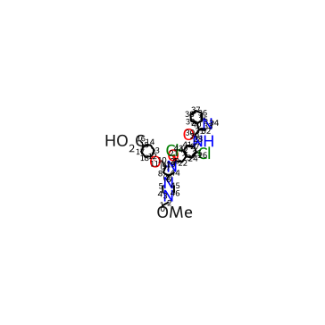 COCCN1CCN([C@H]2C[C@@H](CO[C@H]3CC[C@H](C(=O)O)CC3)N(C(=O)Cc3cc(Cl)c(NC(=O)c4cn(C)c5ccccc45)cc3Cl)C2)CC1